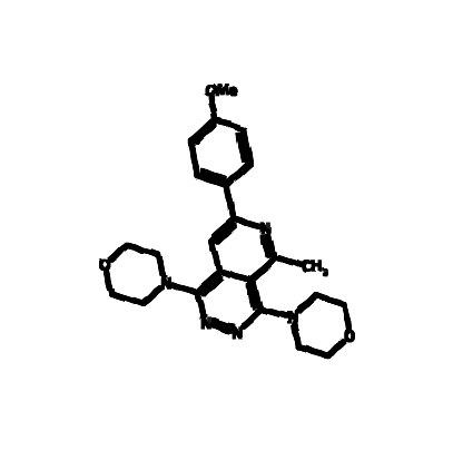 COc1ccc(-c2cc3c(N4CCOCC4)nnc(N4CCOCC4)c3c(C)n2)cc1